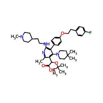 Cc1nc(NCCC2CCN(C)CC2)c(-c2ccc(OCCc3ccc(F)cc3)cc2)c(N2CCC(C)(C)CC2)c1C(OC(C)(C)C)C(=O)O